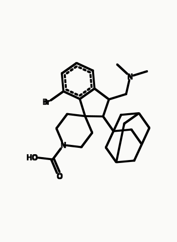 CN(C)CC1c2cccc(Br)c2C2(CCN(C(=O)O)CC2)C1C12CC3CC(CC(C3)C1)C2